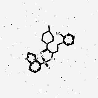 CC1CCN(C(=O)C(CCc2ccccc2C#N)NS(=O)(=O)c2cccc3[nH]ccc23)CC1